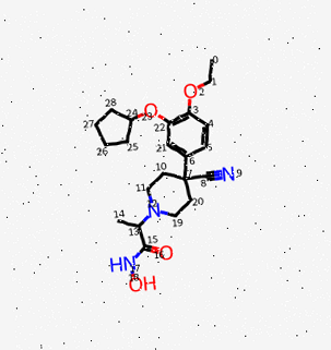 CCOc1ccc(C2(C#N)CCN(C(C)C(=O)NO)CC2)cc1OC1CCCC1